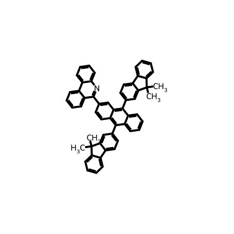 CC1(C)c2ccccc2-c2ccc(-c3c4ccccc4c(-c4ccc5c(c4)C(C)(C)c4ccccc4-5)c4cc(-c5nc6ccccc6c6ccccc56)ccc34)cc21